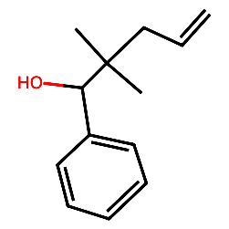 C=CCC(C)(C)C(O)c1ccccc1